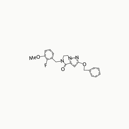 COc1cccc(CN2CCn3nc(OCc4ccccc4)cc3C2=O)c1F